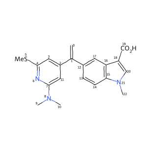 C=C(c1cc(SC)nc(N(C)C)c1)c1ccc2c(c1)c(C(=O)O)cn2C